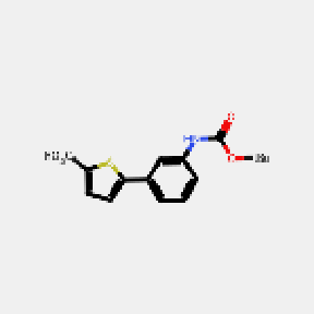 CC(C)(C)OC(=O)Nc1cccc(-c2ccc(C(=O)O)s2)c1